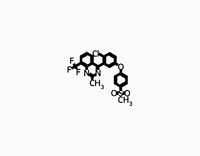 Cc1nc(-c2cc(Oc3ccc(S(C)(=O)=O)cc3)ccc2Cl)c2cccc(C(F)(F)F)c2n1